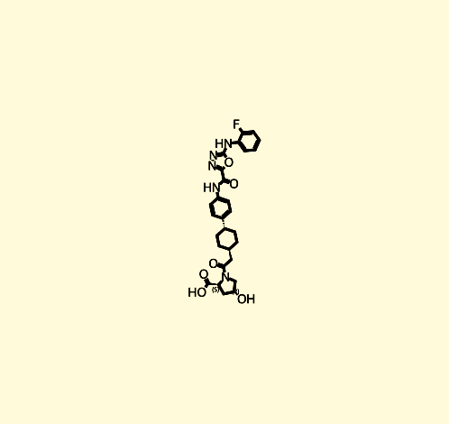 O=C(Nc1ccc([C@H]2CC[C@H](CC(=O)N3C[C@H](O)C[C@H]3C(=O)O)CC2)cc1)c1nnc(Nc2ccccc2F)o1